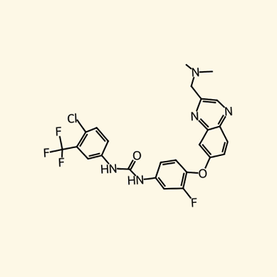 CN(C)Cc1cnc2ccc(Oc3ccc(NC(=O)Nc4ccc(Cl)c(C(F)(F)F)c4)cc3F)cc2n1